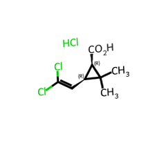 CC1(C)[C@H](C(=O)O)[C@@H]1C=C(Cl)Cl.Cl